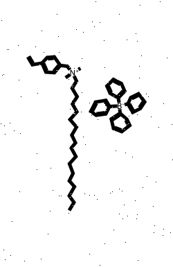 C=Cc1ccc(C[N+](C)(C)CCCCCCCCCCCCCCCCCC)cc1.c1ccc([B-](c2ccccc2)(c2ccccc2)c2ccccc2)cc1